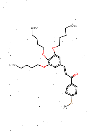 CCCCCCCCCCCCCCOc1cc(/C=C/C(=O)c2ccc(SCCC)cc2)cc(OCCCCCCCCCCCCCC)c1OCCCCCCCCCCCCCC